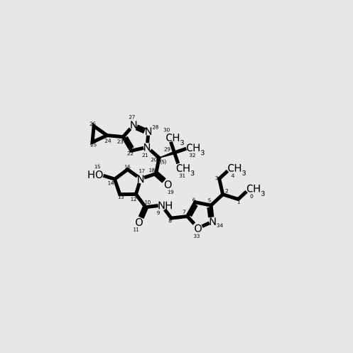 CCC(CC)c1cc(CNC(=O)C2CC(O)CN2C(=O)[C@@H](n2cc(C3CC3)nn2)C(C)(C)C)on1